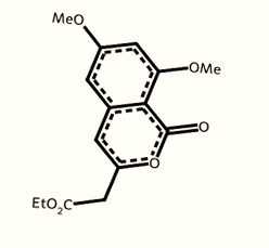 CCOC(=O)Cc1cc2cc(OC)cc(OC)c2c(=O)o1